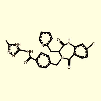 Cc1nnc(NC(=O)c2ccc(CN3C(=O)c4ccc(Cl)cc4NC(=O)C3Cc3ccccn3)cc2)[nH]1